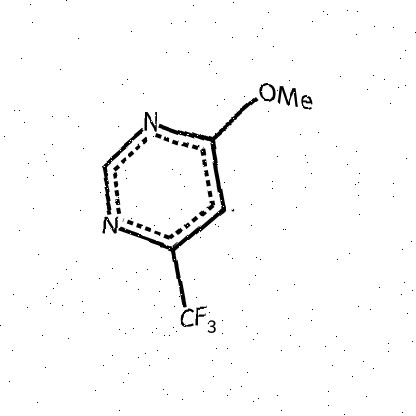 COc1[c]c(C(F)(F)F)ncn1